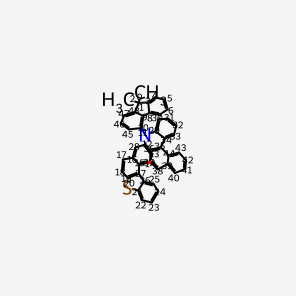 CC1(C)c2ccccc2-c2c(N(c3ccc4c(ccc5sc6ccccc6c54)c3)c3ccccc3-c3cccc4ccccc34)cccc21